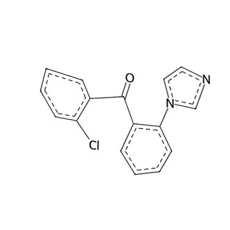 O=C(c1ccccc1Cl)c1ccccc1-n1ccnc1